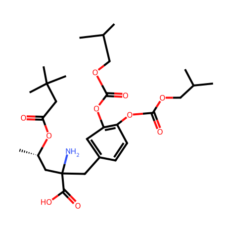 CC(C)COC(=O)Oc1ccc(CC(N)(C[C@H](C)OC(=O)CC(C)(C)C)C(=O)O)cc1OC(=O)OCC(C)C